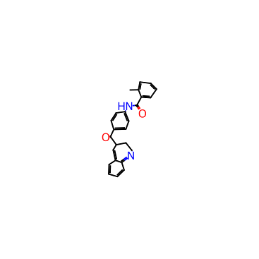 Cc1ccccc1C(=O)Nc1ccc(C(=O)C2C=c3ccccc3=NCC2)cc1